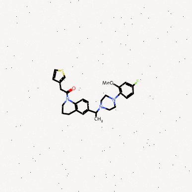 COc1cc(F)ccc1N1CCN(C(C)c2ccc3c(c2)CCCN3C(=O)Cc2ccsc2)CC1